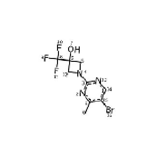 Cc1nc(N2CC(O)(C(F)(F)F)C2)ncc1Br